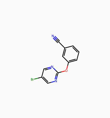 N#Cc1cccc(Oc2ncc(Br)cn2)c1